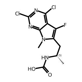 C[C@@H](Cc1c(F)c2c(Cl)nc(Cl)nc2n1C)NC(=O)O